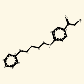 O=C(CBr)c1ccc(OCCCCCc2ccccc2)cc1